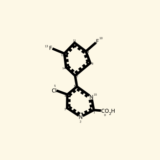 O=C(O)c1ncc(Cl)c(-c2cc(F)cc(F)c2)n1